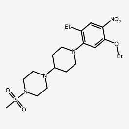 CCOc1cc(N2CCC(N3CCN(S(C)(=O)=O)CC3)CC2)c(CC)cc1[N+](=O)[O-]